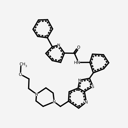 COCCN1CCN(Cc2cnc3sc(-c4ccccc4NC(=O)c4cccc(-c5ccccc5)n4)nc3c2)CC1